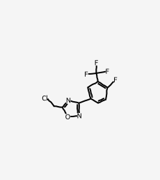 Fc1ccc(-c2noc(CCl)n2)cc1C(F)(F)F